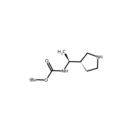 C[C@H](NC(=O)OC(C)(C)C)[C@H]1CCNC1